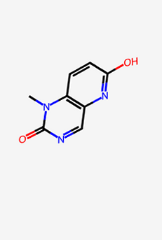 Cn1c(=O)ncc2nc(O)ccc21